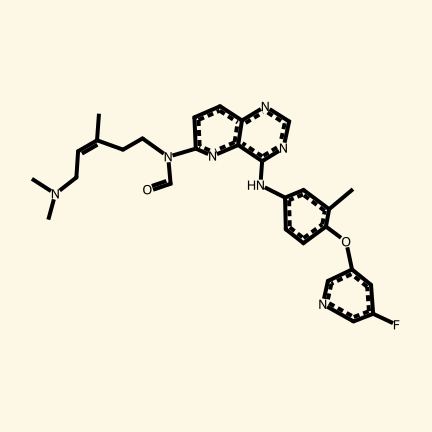 C/C(=C/CN(C)C)CCN(C=O)c1ccc2ncnc(Nc3ccc(Oc4cncc(F)c4)c(C)c3)c2n1